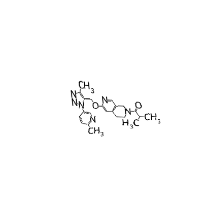 Cc1ccc(-n2nnc(C)c2COc2cc3c(cn2)CN(C(=O)C(C)C)CC3)cn1